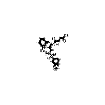 CCC(=O)CCC(=O)N[C@@H](Cc1ccccc1)[C@H](O)CN(CC(C)CC)S(=O)(=O)c1ccc2ncsc2c1